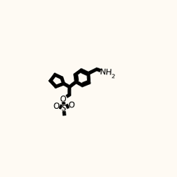 CS(=O)(=O)OCC(c1ccc(CN)cc1)C1CCCC1